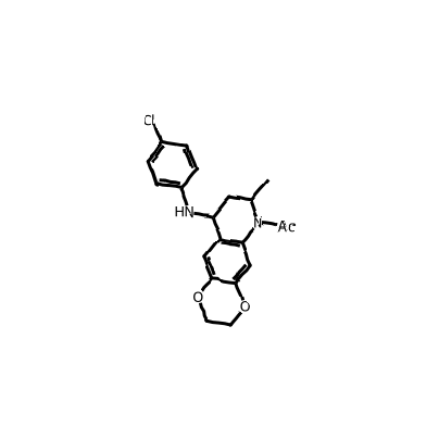 CC(=O)N1c2cc3c(cc2C(Nc2ccc(Cl)cc2)CC1C)OCCO3